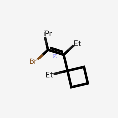 CC/C(=C(/Br)C(C)C)C1(CC)CCC1